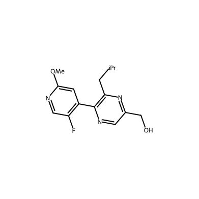 COc1cc(-c2ncc(CO)nc2CC(C)C)c(F)cn1